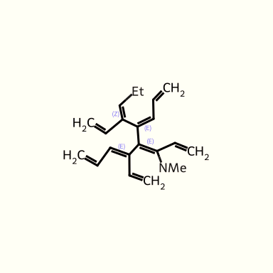 C=C/C=C(C=C)/C(C(=C/C=C)/C(C=C)=C\CC)=C(/C=C)NC